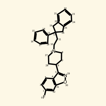 Fc1ccc2c(C3CCN(CCC4(c5ccccc5)Cc5ccccc5C4)CC3)noc2c1